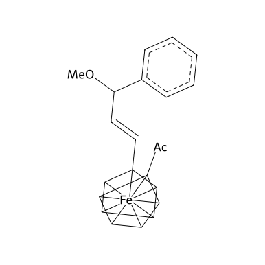 COC(C=C[C]12[CH]3[CH]4[CH]5[CH]1[Fe]45321678[CH]2[CH]1[CH]6[C]7(C(C)=O)[CH]28)c1ccccc1